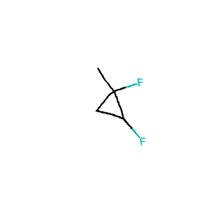 CC1(F)CC1F